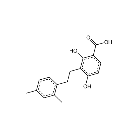 Cc1ccc(CCc2c(O)ccc(C(=O)O)c2O)c(C)c1